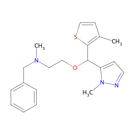 Cc1ccsc1C(OCCN(C)Cc1ccccc1)c1ccnn1C